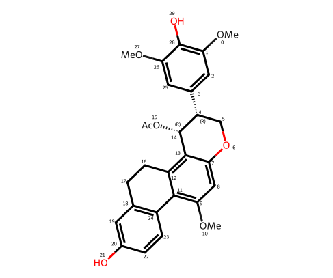 COc1cc([C@@H]2COc3cc(OC)c4c(c3[C@@H]2OC(C)=O)CCc2cc(O)ccc2-4)cc(OC)c1O